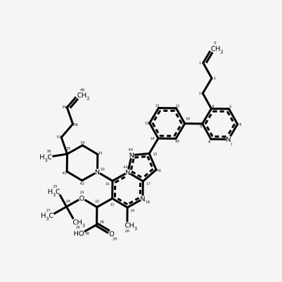 C=CCCc1ccncc1-c1cccc(-c2cc3nc(C)c(C(OC(C)(C)C)C(=O)O)c(N4CCC(C)(CCC=C)CC4)n3n2)c1